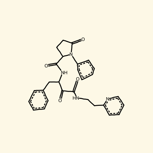 O=C(NCCc1ccccn1)C(=O)C(Cc1ccccc1)NC(=O)C1CCC(=O)N1c1ccccc1